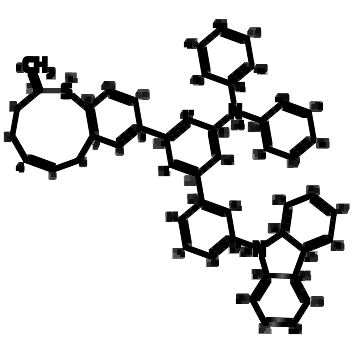 C=C1CC/C=C\Cc2cc(-c3cc(-c4cccc(-n5c6ccccc6c6ccccc65)c4)cc(N(c4ccccc4)c4ccccc4)c3)ccc2S1